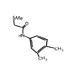 CSCC(=O)Nc1ccc(C)c(C)c1